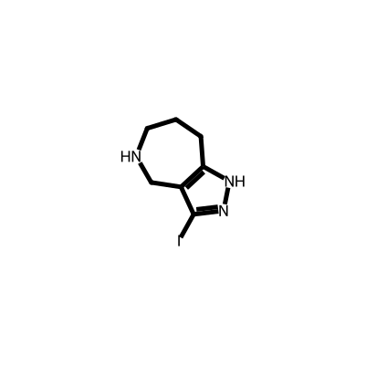 Ic1n[nH]c2c1CNCCC2